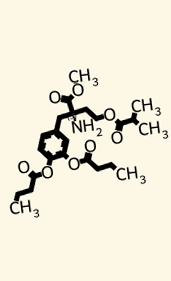 CCCC(=O)Oc1ccc(C[C@](N)(CCOC(=O)C(C)C)C(=O)OC)cc1OC(=O)CCC